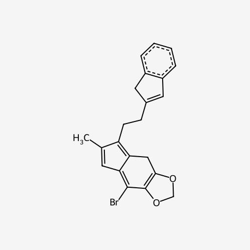 CC1=CC2=C(Br)C3=C(CC2=C1CCC1=Cc2ccccc2C1)OCO3